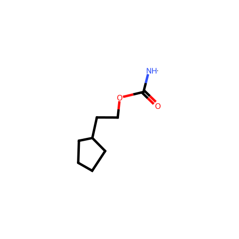 [NH]C(=O)OCCC1CCCC1